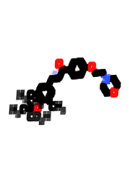 Cc1cc(/C=C/C(=O)c2ccc(OCCN3CCOCC3)cc2)cc(C)c1OC(C)(C)C(=O)O